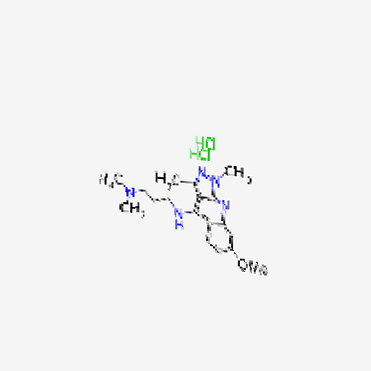 COc1ccc2c(NCCCN(C)C)c3c(C)nn(C)c3nc2c1.Cl.Cl